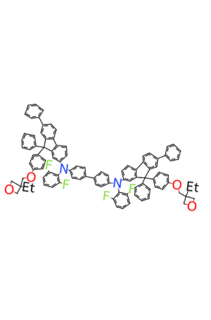 CCC1(COc2ccc(C3(c4ccccc4)c4cc(-c5ccccc5)ccc4-c4ccc(N(c5ccc(-c6ccc(N(c7ccc8c(c7)C(c7ccccc7)(c7ccc(OCC9(CC)COC9)cc7)c7cc(-c9ccccc9)ccc7-8)c7c(F)cccc7F)cc6)cc5)c5c(F)cccc5F)cc43)cc2)COC1